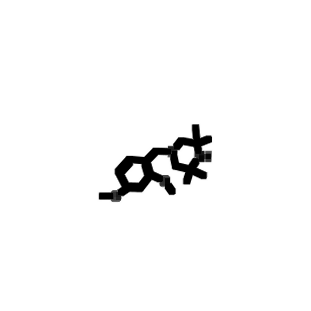 COc1ccc(CN2CC(C)(C)NC(C)(C)C2)c(OC)c1